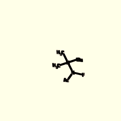 CC(=O)N(F)[Si](C)(C)C(C)(C)C